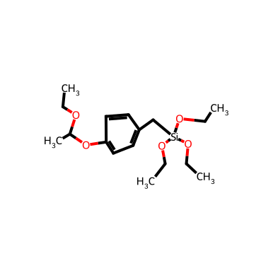 CCOC(C)Oc1ccc(C[Si](OCC)(OCC)OCC)cc1